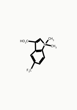 C[N+]1(C)C=C(C(=O)O)c2cc(C(F)(F)F)ccc21